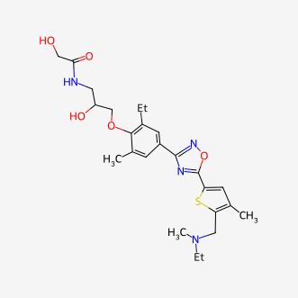 CCc1cc(-c2noc(-c3cc(C)c(CN(C)CC)s3)n2)cc(C)c1OCC(O)CNC(=O)CO